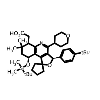 CC(C)(C)c1ccc([C@H]2OC3(CCCC3)c3c2c(C2CCOCC2)nc2c3[C@@H](O[Si](C)(C)C(C)(C)C)CC(C)(C)[C@H]2CC(=O)O)cc1